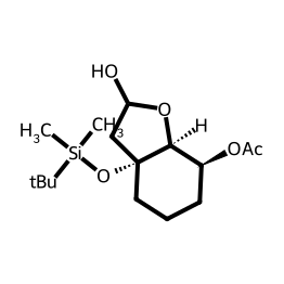 CC(=O)O[C@H]1CCC[C@@]2(O[Si](C)(C)C(C)(C)C)CC(O)O[C@@H]12